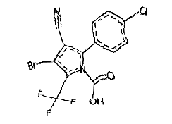 N#Cc1c(Br)c(C(F)(F)F)n(C(=O)O)c1-c1ccc(Cl)cc1